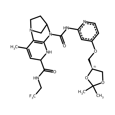 CC1=CC(C(=O)NCC(F)(F)F)NC2=C1N1CCC(C1)N2C(=O)Nc1cc(OC[C@H]2COC(C)(C)O2)ccn1